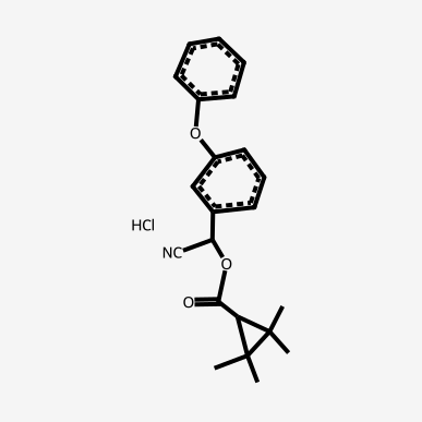 CC1(C)C(C(=O)OC(C#N)c2cccc(Oc3ccccc3)c2)C1(C)C.Cl